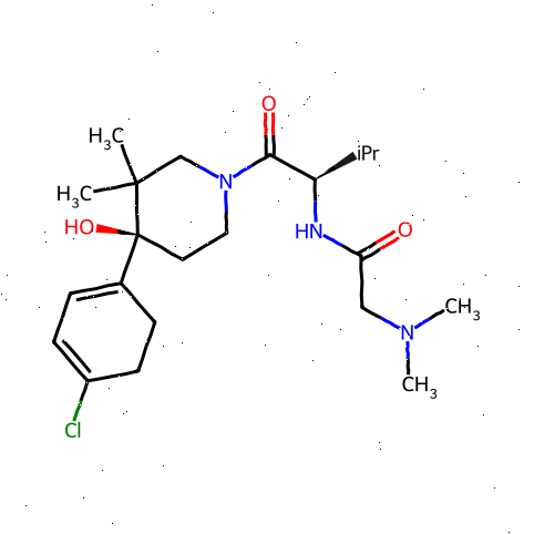 CC(C)[C@@H](NC(=O)CN(C)C)C(=O)N1CC[C@](O)(C2=CC=C(Cl)CC2)C(C)(C)C1